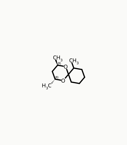 CC1CCCCC12O[C@H](C)C[C@@H](C)O2